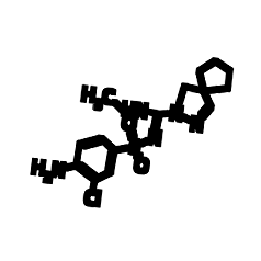 CCN/C(=N\S(=O)(=O)c1ccc(N)c(Cl)c1)N1CC2(C=N1)CCCC2